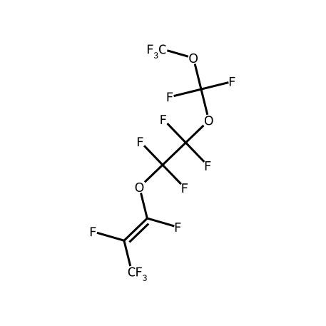 FC(OC(F)(F)C(F)(F)OC(F)(F)OC(F)(F)F)=C(F)C(F)(F)F